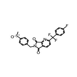 C[S+]([O-])c1ccc(CN2C(=O)c3ccc(C(F)(F)c4ccc(F)cc4)nc3C2=O)cc1